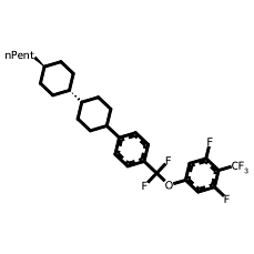 CCCCC[C@H]1CC[C@H](C2CCC(c3ccc(C(F)(F)Oc4cc(F)c(C(F)(F)F)c(F)c4)cc3)CC2)CC1